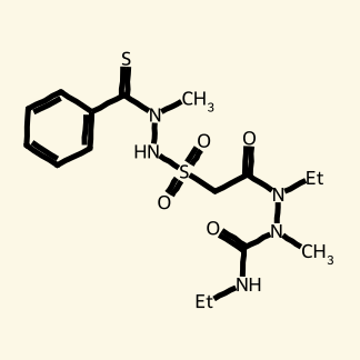 CCNC(=O)N(C)N(CC)C(=O)CS(=O)(=O)NN(C)C(=S)c1ccccc1